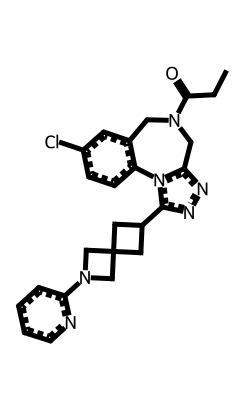 CCC(=O)N1Cc2cc(Cl)ccc2-n2c(nnc2C2CC3(C2)CN(c2ccccn2)C3)C1